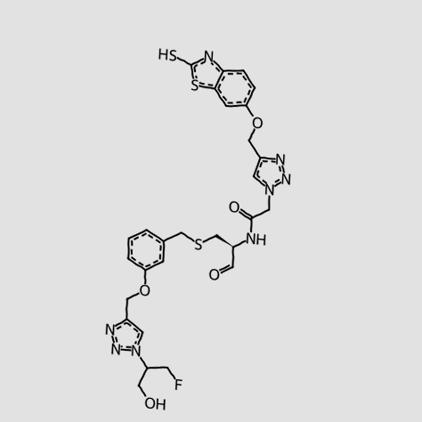 O=C[C@@H](CSCc1cccc(OCc2cn(C(CO)CF)nn2)c1)NC(=O)Cn1cc(COc2ccc3nc(S)sc3c2)nn1